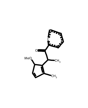 COC1C=CC(C)=C1C(C)C(=O)c1ccccc1